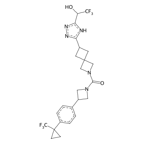 O=C(N1CC(c2ccc(C3(C(F)(F)F)CC3)cc2)C1)N1CC2(CC(c3nnc(C(O)C(F)(F)F)[nH]3)C2)C1